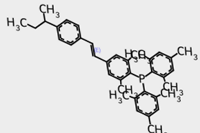 CCC(C)c1ccc(/C=C/c2cc(C)c(P(c3c(C)cc(C)cc3C)c3c(C)cc(C)cc3C)c(C)c2)cc1